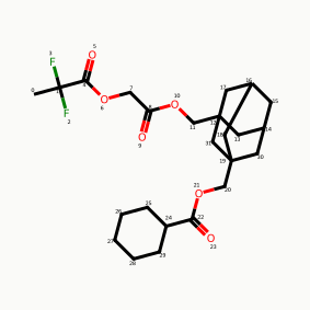 CC(F)(F)C(=O)OCC(=O)OCC12CC3CC(C1)CC(COC(=O)C1CCCCC1)(C3)C2